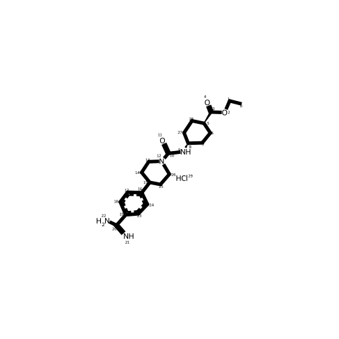 CCOC(=O)[C@H]1CC[C@H](NC(=O)N2CCC(c3ccc(C(=N)N)cc3)CC2)CC1.Cl